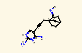 C/N=C1\CC2C=CC1(CC#Cc1cnc(N)nc1N)CC2